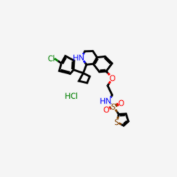 Cl.O=S(=O)(NCCOc1ccc2c(c1)C(C1(c3ccc(Cl)cc3)CCC1)NCC2)c1cccs1